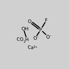 O=C(O)O.O=P([O-])([O-])F.[Ca+2]